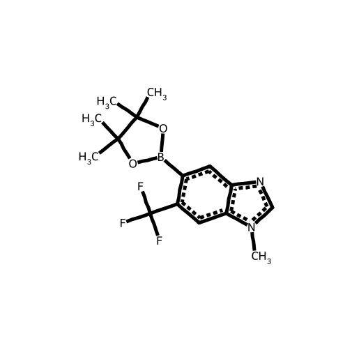 Cn1cnc2cc(B3OC(C)(C)C(C)(C)O3)c(C(F)(F)F)cc21